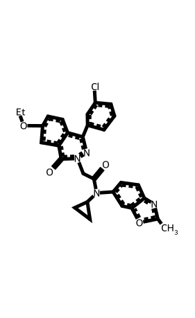 CCOc1ccc2c(-c3cccc(Cl)c3)nn(CC(=O)N(c3ccc4nc(C)oc4c3)C3CC3)c(=O)c2c1